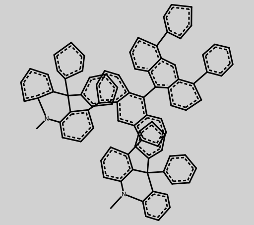 CN1c2ccccc2C(c2ccccc2)(c2ccccc2)c2c(-c3cccc4c(-c5c6cccc(-c7ccccc7)c6cc6c(-c7ccccc7)cccc56)c5cccc(-c6cccc7c6C(c6ccccc6)(c6ccccc6)c6ccccc6N7C)c5cc34)cccc21